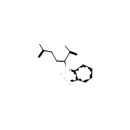 C=C(C)CCC(C(=C)C)n1nnc2ccccc21